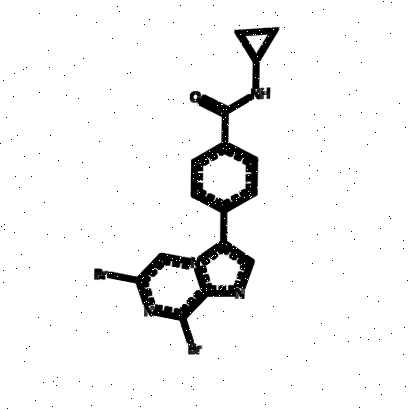 O=C(NC1CC1)c1ccc(-c2cnc3c(Br)nc(Br)cn23)cc1